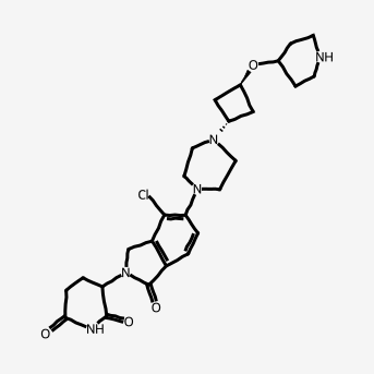 O=C1CCC(N2Cc3c(ccc(N4CCN([C@H]5C[C@H](OC6CCNCC6)C5)CC4)c3Cl)C2=O)C(=O)N1